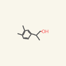 C[C](CO)c1ccc(C)c(C)c1